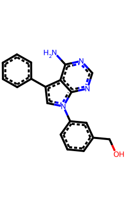 Nc1ncnc2c1c(-c1ccccc1)cn2-c1cccc(CO)c1